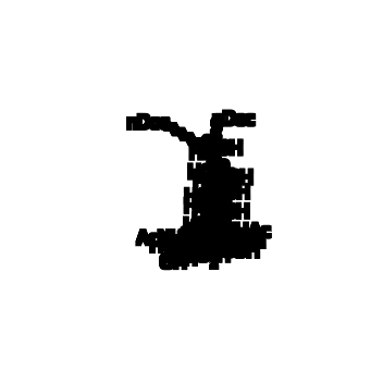 CCCCCCCCCCCCC/C=C/[C@@H](O)[C@H](CO[C@@H]1OC(CO)[C@@H](O[C@@H]2OC(CO)[C@H](O)[C@H](O[C@H]3OC(CO)[C@H](O)[C@H](O[C@@H]4OC(CO)[C@@H](O[C@@H]5OC(CO)[C@H](O)[C@H](O[C@]6(C(=O)O)CC(O)[C@@H](NC(C)=O)C([C@H](O)[C@H](O)CO)O6)C5O)[C@H](O[C@H]5OC(C)[C@@H](O)C(O)[C@@H]5O)C4NC(C)=O)C3O)C2O)[C@H](O)C1O)NC(=O)CCCCCCCCCCCCCCCCCCC